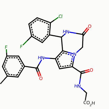 O=C(O)CNC(=O)c1cc(NC(=O)c2cc(F)cc(C(F)(F)F)c2)c2n1CC(=O)NC2c1cc(F)ccc1Cl